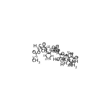 CCCC(=O)OCC(C)(C)C(=O)SCCOP(=O)(NCc1ccccc1)OC[C@H]1O[C@@H](n2cnc3c(=O)[nH]c(N)nc32)[C@](C)(O)[C@@H]1O